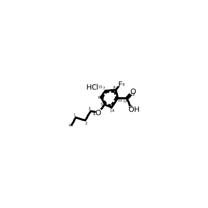 CCCCOc1ccc(F)c(C(=O)O)c1.Cl